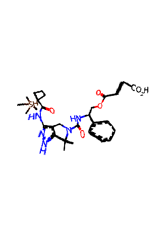 CC1(C)c2[nH]nc(NC(=O)C3([SH](C)(C)(C)C)CCC3)c2CN1C(=O)NC(COC(=O)CCC(=O)O)c1ccccc1